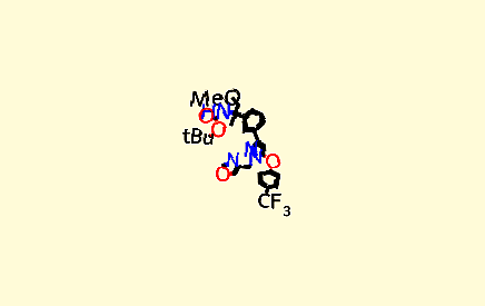 COCC(C)(NC(=O)OC(C)(C)C)c1cccc(-c2cc(Oc3ccc(C(F)(F)F)cc3)n(Cc3cocn3)n2)c1